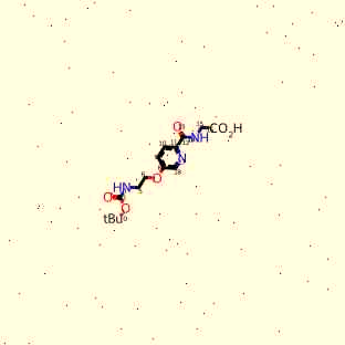 CC(C)(C)OC(=O)NCCOc1ccc(C(=O)NCC(=O)O)nc1